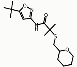 CC(C)(SCC1CCCCO1)C(=O)Nc1cc(C(C)(C)C)on1